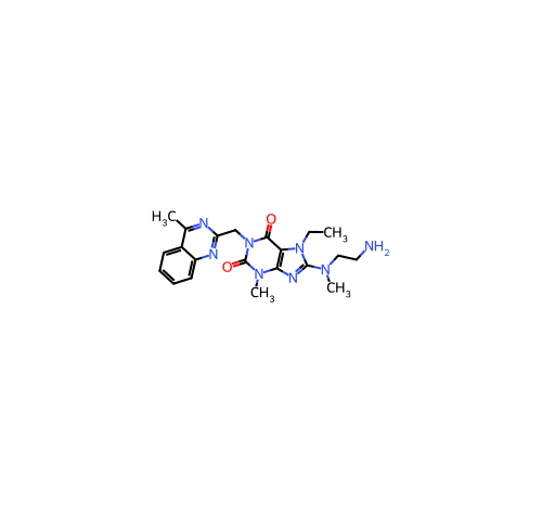 CCn1c(N(C)CCN)nc2c1c(=O)n(Cc1nc(C)c3ccccc3n1)c(=O)n2C